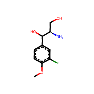 COc1ccc(C(O)[C@H](N)CO)cc1F